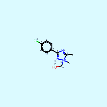 CC1=NC(c2ccc(Cl)cc2)=N[N+]1(C)CO